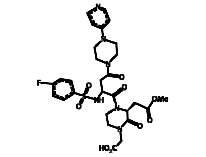 COC(=O)C[C@H]1C(=O)N(CC(=O)O)CCN1C(=O)C(CC(=O)N1CCN(c2ccncc2)CC1)NS(=O)(=O)c1ccc(F)cc1